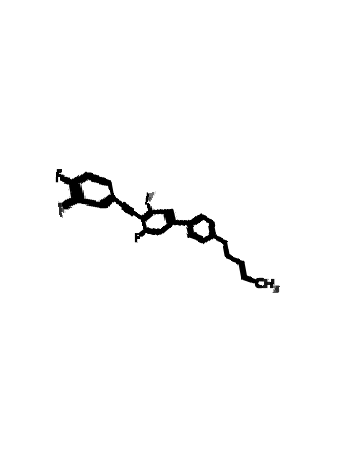 CCCCCc1ccc(-c2cc(F)c(C#Cc3ccc(F)c(F)c3)c(F)c2)cc1